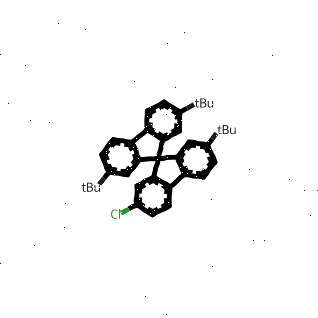 CC(C)(C)c1ccc2c(c1)C1(c3cc(Cl)ccc3-2)c2cc(C(C)(C)C)ccc2-c2ccc(C(C)(C)C)cc21